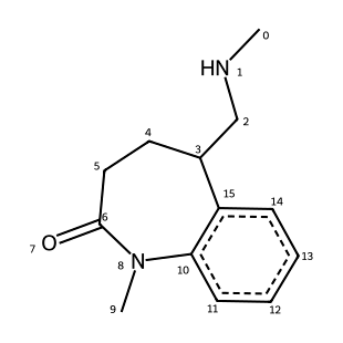 CNCC1CCC(=O)N(C)c2ccccc21